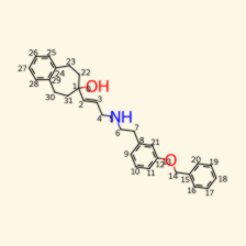 OC1(C=CCNCCc2cccc(OCc3ccccc3)c2)CCc2ccccc2CC1